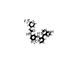 Cc1ccc(NC(=O)C[C@@H]2CCO[C@@H](C(F)(F)F)C2)cc1Nc1ncccc1-c1ncnc2[nH]cnc12